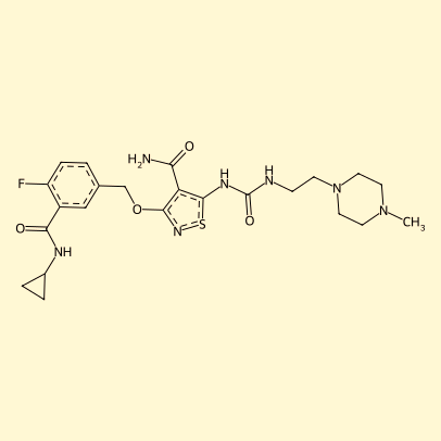 CN1CCN(CCNC(=O)Nc2snc(OCc3ccc(F)c(C(=O)NC4CC4)c3)c2C(N)=O)CC1